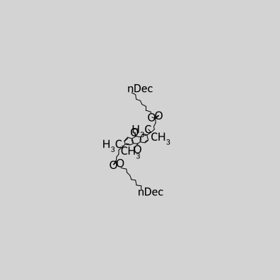 CCCCCCCCCCCCCCCCCCOC(=O)CCCC(C)(C)c1ccc2c(c1)C(=O)c1ccc(C(C)(C)CCCC(=O)OCCCCCCCCCCCCCCCCCC)cc1C2=O